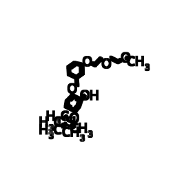 COCCOCCOC1=CC(COc2ccc(O[Si](C)(C)C(C)(C)C)cc2O)CC=C1